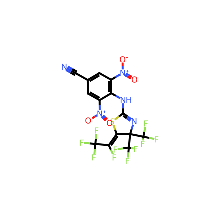 N#Cc1cc([N+](=O)[O-])c(NC2=NC(C(F)(F)F)(C(F)(F)F)/C(=C(\F)C(F)(F)F)S2)c([N+](=O)[O-])c1